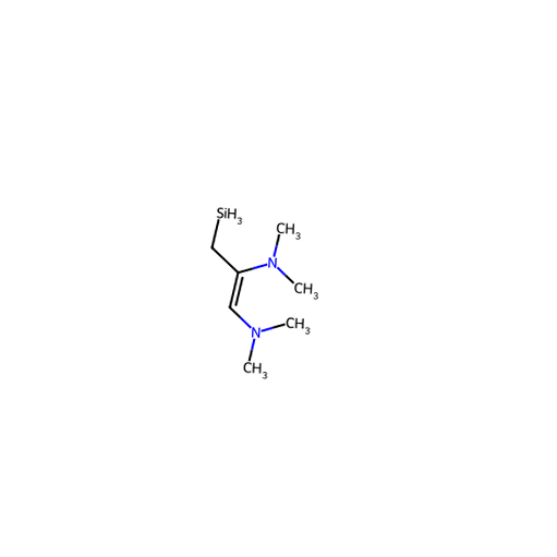 CN(C)C=C(C[SiH3])N(C)C